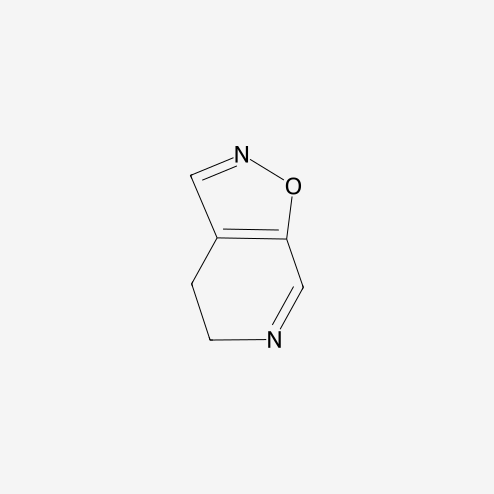 C1=NCCc2cnoc21